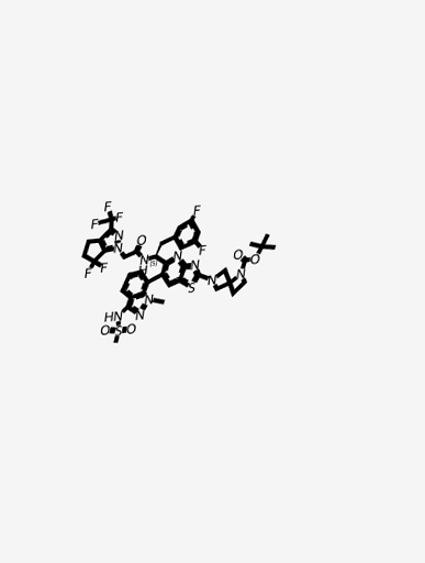 Cn1nc(NS(C)(=O)=O)c2cccc(-c3cc4sc(N5CC6(CCN6C(=O)OC(C)(C)C)C5)nc4nc3[C@H](Cc3cc(F)cc(F)c3)NC(=O)Cn3nc(C(F)(F)F)c4c3C(F)(F)CC4)c21